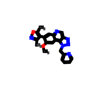 COc1cc2c(cc1-c1c(C)noc1C)ncc1nnn(Cc3ccccn3)c12